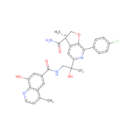 Cc1ccnc2c(O)cc(C(=O)NCC(O)(c3cc4c(c(-c5ccc(F)cc5)n3)OC[C@]4(C)C(N)=O)C(F)(F)F)cc12